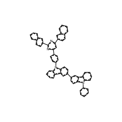 c1ccc(-n2c3ccccc3c3cc(-c4ccc5c(c4)c4ccccc4n5-c4ccc(-c5cc(-c6ccc7ccccc7c6)nc(-c6ccc7ccccc7c6)n5)cc4)ccc32)cc1